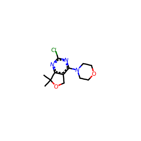 CC1(C)OCc2c(N3CCOCC3)nc(Cl)nc21